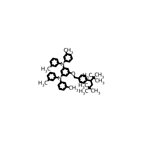 Cc1cccc(N(c2cccc(C)c2)c2cc(OCc3ccc(C(CC(C)(C)C)C(C)(C)C)cc3)cc(N(c3cccc(C)c3)c3cccc(C)c3)c2)c1